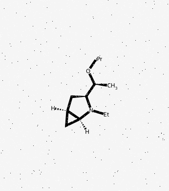 CCN1[C@H]2C[C@H]2C[C@H]1[C@H](C)OC(C)C